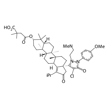 CNCCn1c([C@@]23CC[C@]4(C)[C@H](CC[C@@H]5[C@@]6(C)CC[C@H](OC(=O)CC(C)(C)C(=O)O)C(C)(C)[C@@H]6CC[C@]54C)C2=C(C(C)C)C(=O)C3)c(Cl)c(=O)n1-c1ccc(OC)cc1